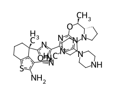 C[C@H](Oc1nc(-c2noc([C@@]3(C)CCCc4sc(N)c(C#N)c43)n2)cc(N2CCNCC2)n1)[C@@H]1CCCN1C1CCN(C)CC1